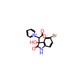 O=C([O-])C([n+]1ccccc1)C1(O)C(=O)Nc2ccc(Br)cc21